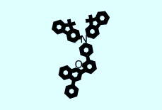 CC1(C)c2ccccc2-c2ccc(N(c3ccc(-c4cccc5c4oc4c6ccccc6c(-c6ccccc6)cc54)cc3)c3ccc4c(c3)C(C)(C)c3ccccc3-4)cc21